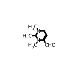 CC1N(C)CC=C(C=O)N1C